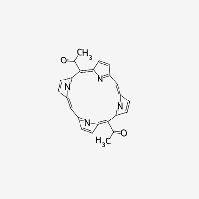 CC(=O)C1=C2C=CC(=N2)C=C2C=CC(=N2)C(C(C)=O)=C2C=CC(=N2)C=C2C=CC1=N2